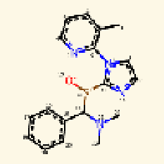 Cc1cccnc1-n1ccnc1[S+]([O-])C(c1ccccc1)N(C)C